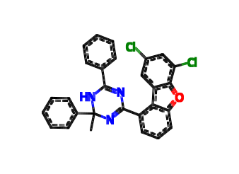 CC1(c2ccccc2)N=C(c2cccc3oc4c(Cl)cc(Cl)cc4c23)N=C(c2ccccc2)N1